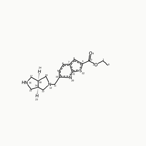 CCOC(=O)c1cc2ccc(CN3C[C@H]4CNC[C@H]4C3)nc2s1